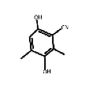 Cc1cc(O)c(C#N)c(C)c1O